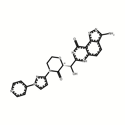 Nc1nsc2c1ccc1[nH]c(C(O)[C@H]3OCCN(c4ccn(-c5ccncc5)n4)C3=O)nc(=O)c12